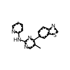 Cc1cnc(Nc2cc[c]cn2)nc1-c1ccc2ncsc2c1